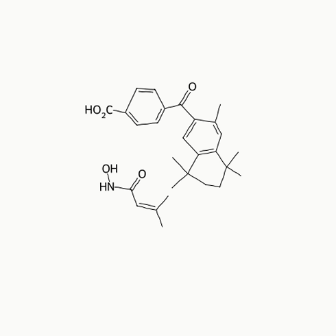 CC(C)=CC(=O)NO.Cc1cc2c(cc1C(=O)c1ccc(C(=O)O)cc1)C(C)(C)CCC2(C)C